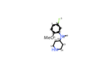 COc1ccc(F)cc1N(C)C1CCNCC1